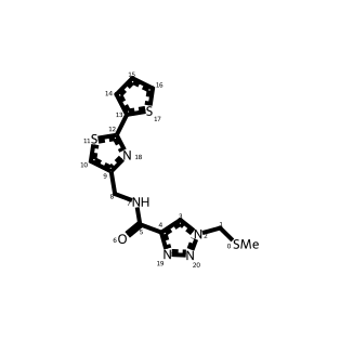 CSCn1cc(C(=O)NCc2csc(-c3cccs3)n2)nn1